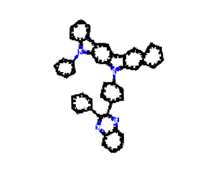 c1ccc(-c2nc3ccccc3nc2-c2ccc(-n3c4cc5ccccc5cc4c4cc5c6ccccc6n(-c6ccccc6)c5cc43)cc2)cc1